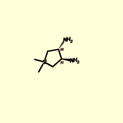 C[Si]1(C)C[C@H](N)[C@@H](N)C1